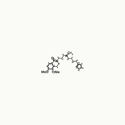 COc1ccc2c(c1OC)CCN(CCCN(C)CCCCc1cccs1)C2=O